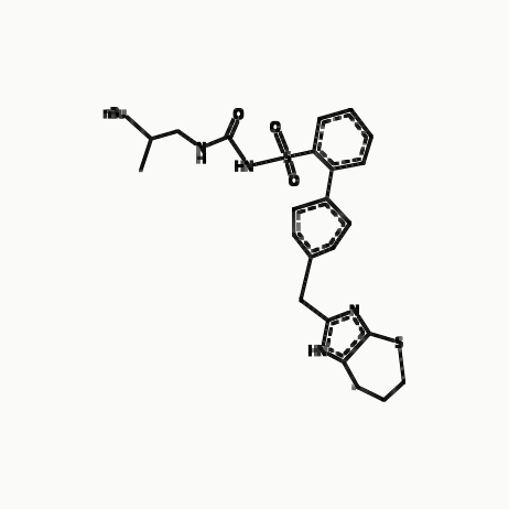 CCCCC(C)CNC(=O)NS(=O)(=O)c1ccccc1-c1ccc(Cc2nc3c([nH]2)[C]CCS3)cc1